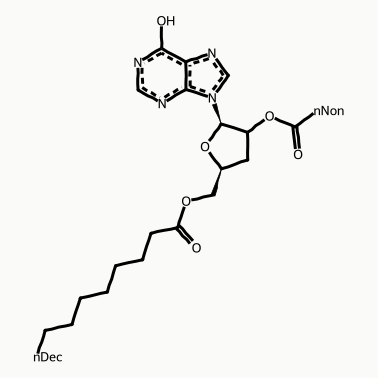 CCCCCCCCCCCCCCCCCC(=O)OC[C@@H]1CC(OC(=O)CCCCCCCCC)[C@H](n2cnc3c(O)ncnc32)O1